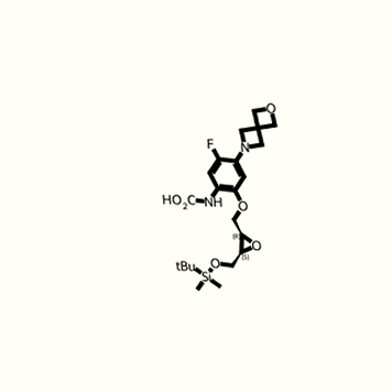 CC(C)(C)[Si](C)(C)OC[C@@H]1O[C@@H]1COc1cc(N2CC3(COC3)C2)c(F)cc1NC(=O)O